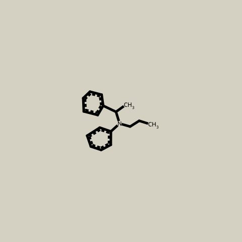 CCCN(c1ccccc1)C(C)c1ccccc1